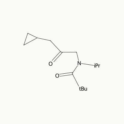 CC(C)N(CC(=O)CC1CC1)C(=O)C(C)(C)C